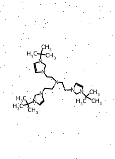 CC(C)(C)N1C=CN(CCN(CCN2C=CN(C(C)(C)C)C2)CCN2C=CN(C(C)(C)C)C2)C1